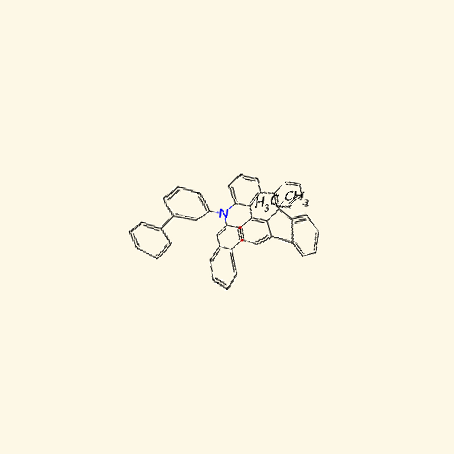 CC1(C)c2ccccc2-c2cccc(-c3c(-c4ccccc4)cccc3N(c3cccc(-c4ccccc4)c3)c3ccc4ccccc4c3)c21